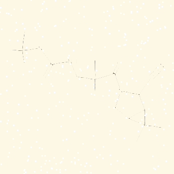 C[C@H](NC(=O)NC(C)(C)C)C(C)(C)C(=O)N1CC2C(C1C#N)C2(C)C